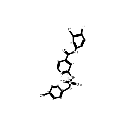 O=C(Nc1ccc(F)c(F)c1)c1ccnc(NS(=O)(=O)Cc2ccc(Cl)cc2)c1